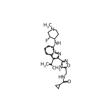 C=C(C)c1c(-c2noc(CNC(=O)C3CC3)n2)nn2c(N[C@@H]3CCN(C)C[C@@H]3F)cccc12